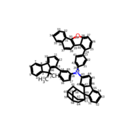 CC1(C)c2ccccc2-c2cccc(-c3cccc(N(c4ccc(-c5cccc6oc7c8ccccc8ccc7c56)cc4)c4ccc5c(c4)C4(c6ccccc6-5)C5CC6CC(C5)CC4C6)c3)c21